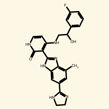 Cc1cc(C2=NCCN2)cc2[nH]c(-c3c(NCC(O)c4cccc(F)c4)cc[nH]c3=O)nc12